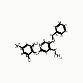 CSc1cc(Oc2c(Cl)cc(Br)cc2Cl)ncc1OCc1ccccc1